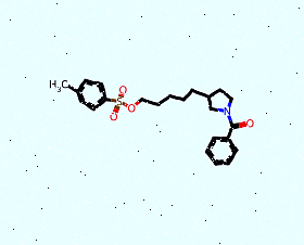 Cc1ccc(S(=O)(=O)OCCCCCC2CCN(C(=O)c3ccccc3)C2)cc1